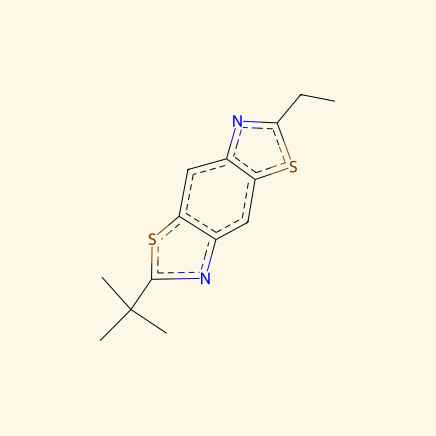 CCc1nc2cc3sc(C(C)(C)C)nc3cc2s1